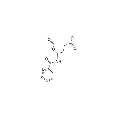 O=COC(CCC(=O)O)NC(=O)c1ccccn1